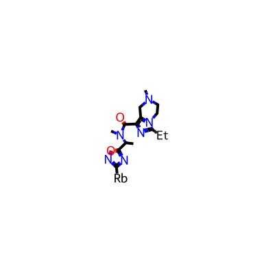 CCc1nc(C(=O)N(C)C(C)c2n[c]([Rb])no2)c2n1CCN(C)C2